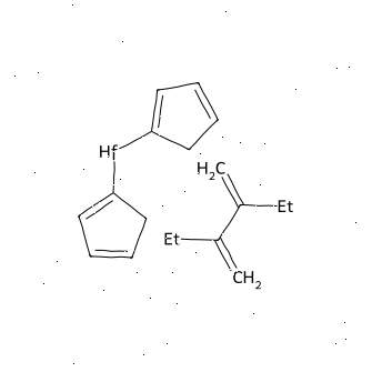 C1=CC[C]([Hf][C]2=CC=CC2)=C1.C=C(CC)C(=C)CC